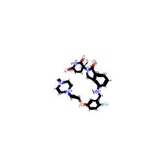 CN1CCN(CCOc2ccc(F)c(CNc3cccc4c3CN([C@]3(C)CCC(=O)NC3=O)C4=O)c2)CC1